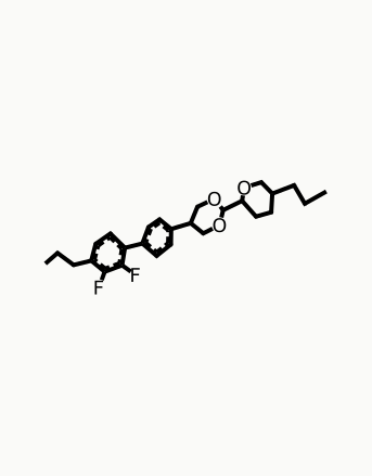 CCCc1ccc(-c2ccc(C3COC(C4CCC(CCC)CO4)OC3)cc2)c(F)c1F